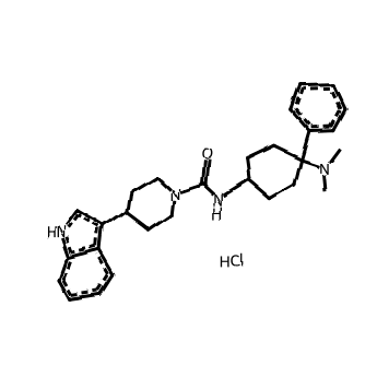 CN(C)C1(c2ccccc2)CCC(NC(=O)N2CCC(c3c[nH]c4ccccc34)CC2)CC1.Cl